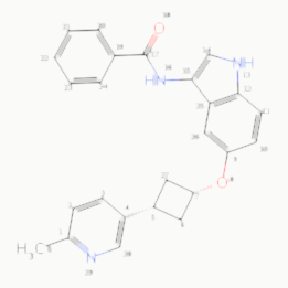 Cc1ccc([C@H]2C[C@@H](Oc3ccc4[nH]cc(NC(=O)c5ccccc5)c4c3)C2)cn1